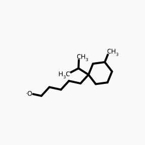 CC1CCCC(CCCCC[O])(C(C)C)C1